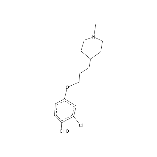 CN1CCC(CCCOc2ccc(C=O)c(Cl)c2)CC1